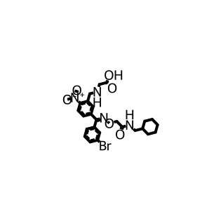 O=C(O)CNCc1cc(C(=NOCC(=O)NCC2CCCCC2)c2cccc(Br)c2)ccc1[N+](=O)[O-]